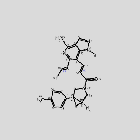 Cn1ncc2c(N)nc(/C=C/F)c(/C=C/C(=O)N3C[C@H]4C[C@@]4(c4ccc(C(F)(F)F)cc4)C3)c21